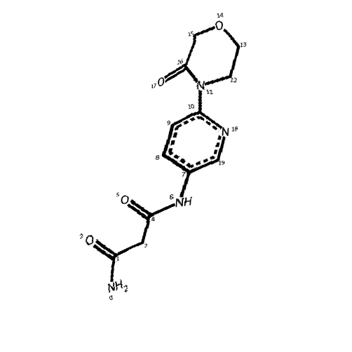 NC(=O)CC(=O)Nc1ccc(N2CCOCC2=O)nc1